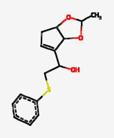 CC1OC2CC=C(C(O)CSc3ccccc3)C2O1